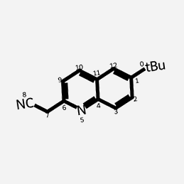 CC(C)(C)c1ccc2nc(CC#N)ccc2c1